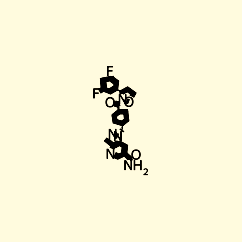 NC(=O)c1cnc2cnn(C[C@H]3CC[C@H](C(=O)N4OCC[C@H]4c4cc(F)cc(F)c4)CC3)c2c1